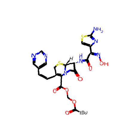 CC(C)(C)C(=O)OCOC(=O)C1=C(/C=C\c2cncnc2)CS[C@@H]2[C@H](NC(=O)/C(=N\O)c3csc(N)n3)C(=O)N12